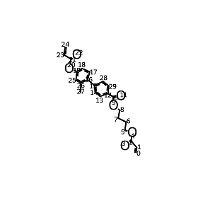 C=CC(=O)OCCCCOC(=O)c1ccc(-c2ccc(OC(=O)C=C)cc2C)cc1